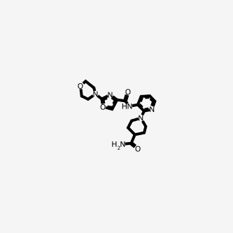 NC(=O)C1CCN(c2ncccc2NC(=O)c2coc(N3CCOCC3)n2)CC1